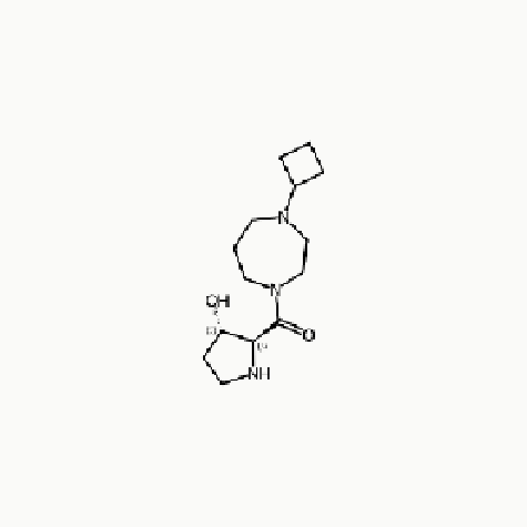 O=C([C@H]1NCC[C@@H]1O)N1CCCN(C2CCC2)CC1